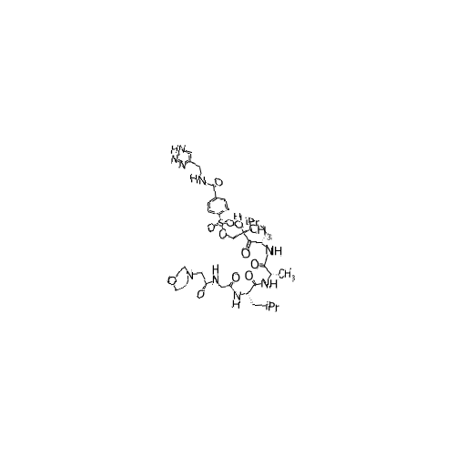 CC(C)C[C@H](NC(=O)CNC(=O)CN1CCOCC1)C(=O)N[C@@H](C)C(=O)N[C@@H](CC(C)C)C(=O)C(C)(O)COS(=O)(=O)c1ccc(C(=O)NCc2c[nH]nn2)cc1